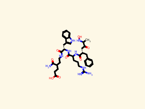 CC(NO)C(=O)C[C@H](Cc1ccccc1)C(=O)NC(CCCNC(=N)N)C(=O)N[C@@H](Cc1c[nH]c2ccccc12)C(=O)NCCC(CCC(=O)O)C(N)=O